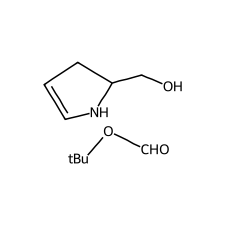 CC(C)(C)OC=O.OCC1CC=CN1